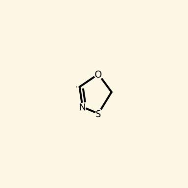 [C]1=NSCO1